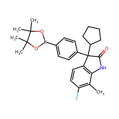 Cc1c(F)ccc2c1NC(=O)C2(c1ccc(B2OC(C)(C)C(C)(C)O2)cc1)C1CCCC1